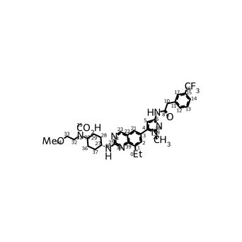 CCc1cc(-c2cc(NC(=O)Cc3cccc(C(F)(F)F)c3)nn2C)cc2cnc(N[C@H]3CC[C@H](N(CCOC)C(=O)O)CC3)nc12